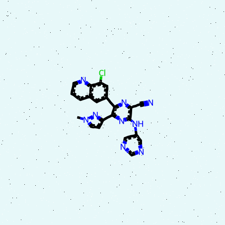 Cn1ccc(-c2nc(Nc3cncnc3)c(C#N)nc2-c2cc(Cl)c3ncccc3c2)n1